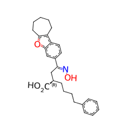 O=C(O)[C@H](CCCCc1ccccc1)CC(=NO)c1ccc2c3c(oc2c1)CCCCC3